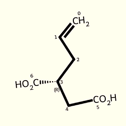 C=CC[C@H](CC(=O)O)C(=O)O